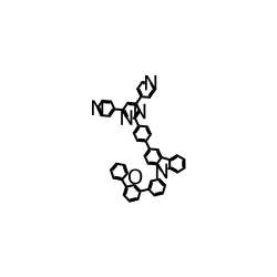 c1cc(-c2cccc3c2oc2ccccc23)cc(-n2c3ccccc3c3cc(-c4ccc(-c5nc(-c6ccncc6)cc(-c6ccncc6)n5)cc4)ccc32)c1